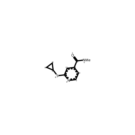 CNC(=O)c1ccnc(SC2CC2)c1